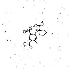 COC(=O)c1cc([N+](=O)[O-])c(SC2(C(=O)OC)CCCC2)cc1C